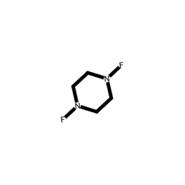 FN1CCN(F)CC1